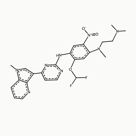 CN(C)CCN(C)c1cc(OC(F)F)c(Nc2nccc(-c3cn(C)c4cccnc34)n2)cc1[N+](=O)[O-]